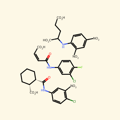 O=C(Nc1ccc(Cl)c([N+](=O)[O-])c1)[C@H]1CCCC[C@H]1C(=O)O.O=C(O)/C=C\C(=O)Nc1ccc(F)c(Cl)c1.O=C(O)CCC(Nc1ccc([N+](=O)[O-])cc1[N+](=O)[O-])C(=O)O